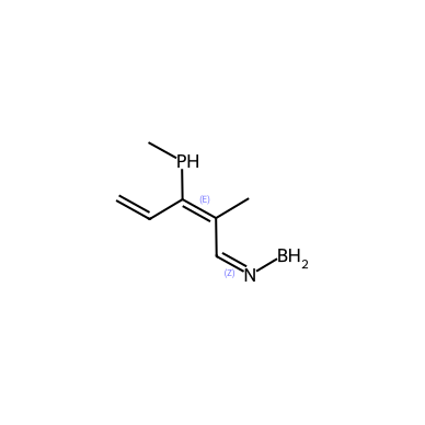 B/N=C\C(C)=C(/C=C)PC